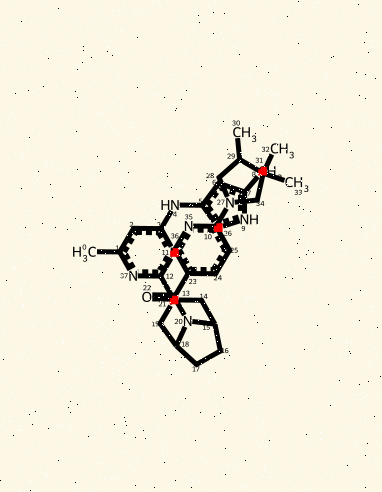 Cc1cc(Nc2cc(C)[nH]n2)nc(N2CC3CCC(C2)N3C(=O)c2ccc(N3CC(C)C(C)(C)C3)nc2)n1